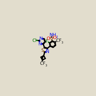 NS(=O)(=O)c1c(C(F)(F)F)ccc(-c2nc(C34CC(C(F)(F)F)(C3)C4)sc2-c2ccnc(Cl)n2)c1F